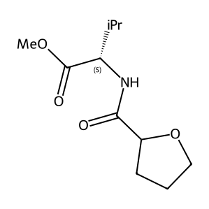 COC(=O)[C@@H](NC(=O)C1CCCO1)C(C)C